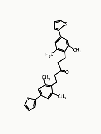 Cc1cc(-c2cccs2)cc(C)c1CCC(=O)CCc1c(C)cc(-c2cccs2)cc1C